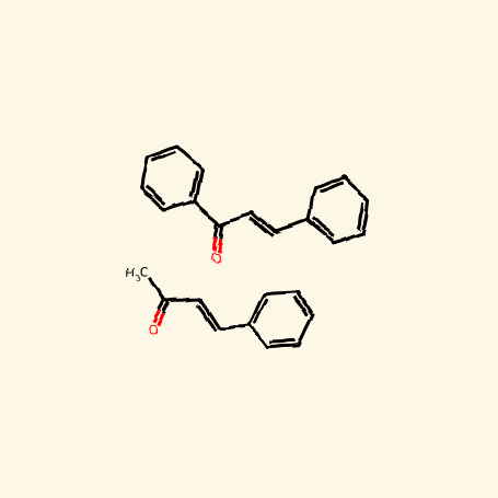 CC(=O)C=Cc1ccccc1.O=C(C=Cc1ccccc1)c1ccccc1